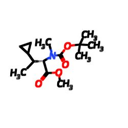 COC(=O)[C@H](C(C)C1CC1)N(C)C(=O)OC(C)(C)C